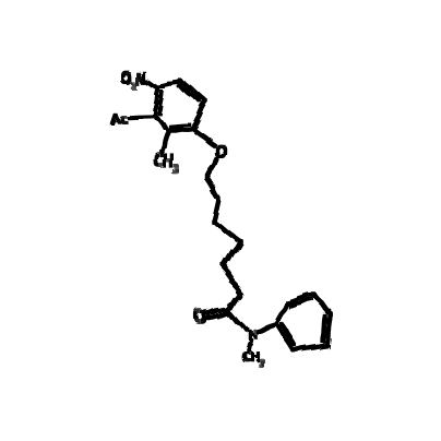 CC(=O)c1c([N+](=O)[O-])ccc(OCCCCCCC(=O)N(C)c2ccccc2)c1C